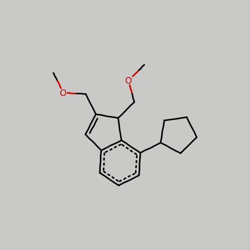 COCC1=Cc2cccc(C3CCCC3)c2C1COC